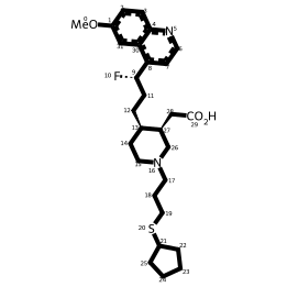 COc1ccc2nccc([C@@H](F)CC[C@@H]3CCN(CCCSC4CCCC4)C[C@@H]3CC(=O)O)c2c1